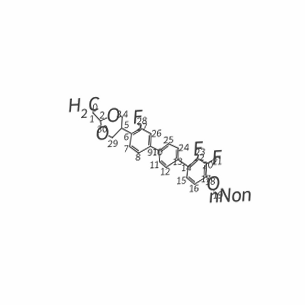 C=CC1OCC(c2ccc(-c3ccc(-c4ccc(OCCCCCCCCC)c(F)c4F)cc3)cc2F)CO1